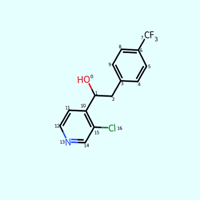 OC(Cc1ccc(C(F)(F)F)cc1)c1ccncc1Cl